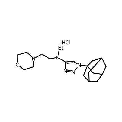 CCN(CCN1CCOCC1)c1cn(C23CC4CC(CC(C4)C2)C3)nn1.Cl